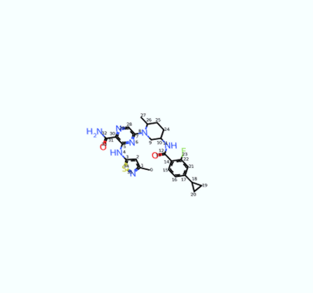 Cc1cc(Nc2nc(N3CC(NC(=O)c4ccc(C5CC5)cc4F)CCC3C)cnc2C(N)=O)sn1